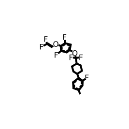 Cc1ccc(C2CCC(C(F)(F)Oc3cc(F)c(OC=C(F)F)c(F)c3)CC2)c(F)c1